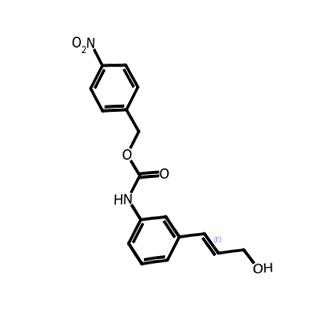 O=C(Nc1cccc(/C=C/CO)c1)OCc1ccc([N+](=O)[O-])cc1